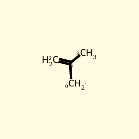 [CH2]C(=C)C